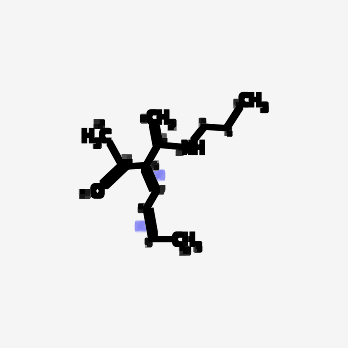 C=C(NCCC)/C(=C/C=C\C)C(C)=O